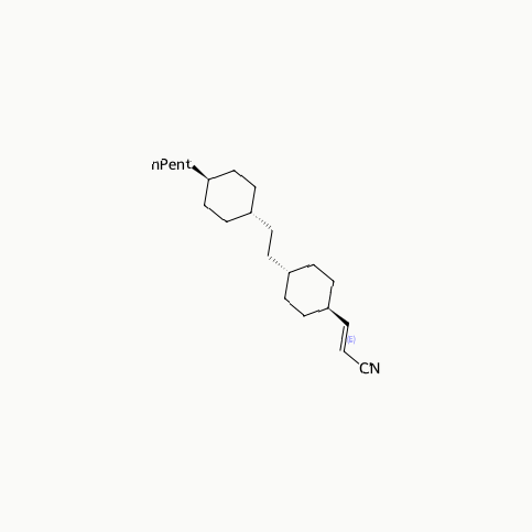 CCCCC[C@H]1CC[C@H](CC[C@H]2CC[C@H](/C=C/C#N)CC2)CC1